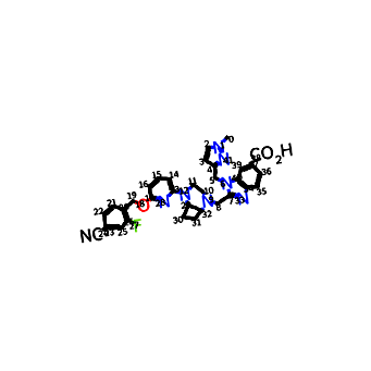 Cn1ccc(Cn2c(CN3CCN(c4cccc(OCc5ccc(C#N)cc5F)n4)C4CCC43)nc3ccc(C(=O)O)cc32)n1